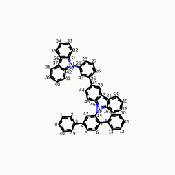 c1ccc(-c2ccc(-c3ccccc3)c(-n3c4ccccc4c4cc(-c5cccc(-n6c7ccccc7c7ccccc76)c5)ccc43)c2)cc1